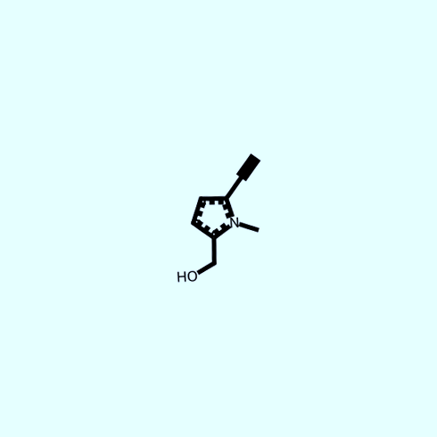 C#Cc1ccc(CO)n1C